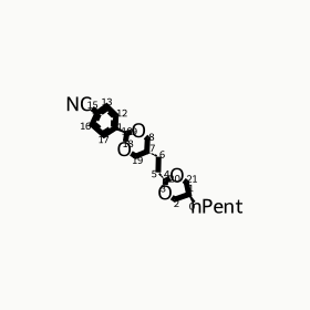 CCCCC[C@H]1CO[C@H](CC[C@H]2CO[C@H](c3ccc(C#N)cc3)OC2)OC1